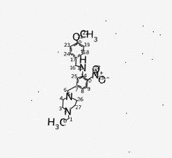 CCN1CCN(Cc2ccc([N+](=O)[O-])c(NCc3ccc(OC)cc3)c2)CC1